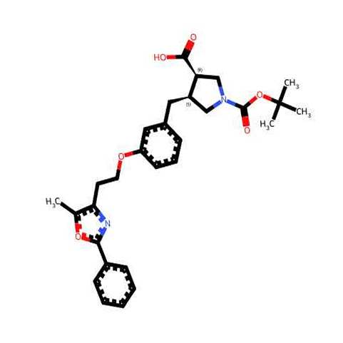 Cc1oc(-c2ccccc2)nc1CCOc1cccc(C[C@@H]2CN(C(=O)OC(C)(C)C)C[C@@H]2C(=O)O)c1